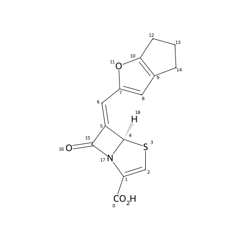 O=C(O)C1=CS[C@@H]2/C(=C\c3cc4c(o3)CCC4)C(=O)N12